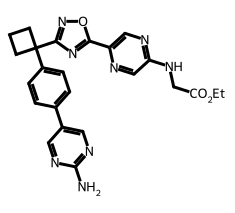 CCOC(=O)CNc1cnc(-c2nc(C3(c4ccc(-c5cnc(N)nc5)cc4)CCC3)no2)cn1